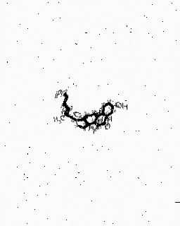 CC(C)CCC[C@@H](C)[C@H]1CC[C@H]2[C@@H]3[C@H](F)C(=O)[C@H]4C[C@@H](O)CC[C@]4(C)[C@H]3CC[C@]12C